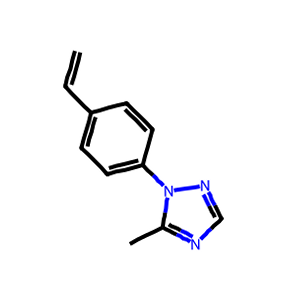 C=Cc1ccc(-n2ncnc2C)cc1